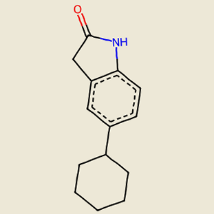 O=C1Cc2cc(C3CCCCC3)ccc2N1